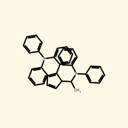 CC(C1C=CC=C1c1ccccc1P(c1ccccc1)c1ccccc1)P(c1ccccc1)c1ccccc1